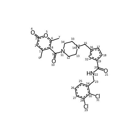 Cc1cc(=O)oc(C)c1C(=O)N1CCN(Cc2ccc(C(=O)NCc3cccc(Cl)c3Cl)s2)CC1